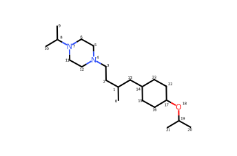 CC(CCN1CCN(C(C)C)CC1)CC1CCC(OC(C)C)CC1